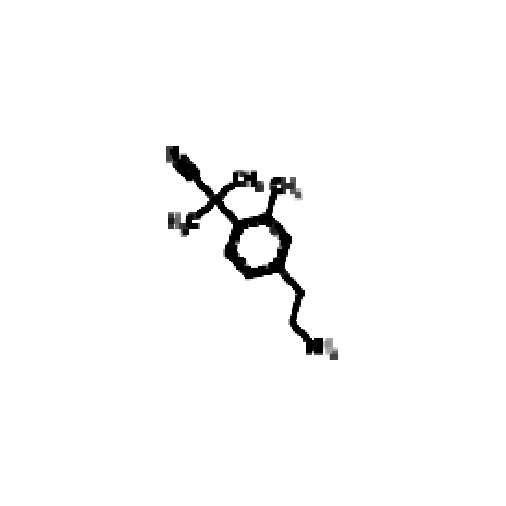 Cc1cc(CCN)ccc1C(C)(C)C#N